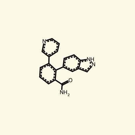 NC(=O)c1cccc(-c2cccnc2)c1-c1ccc2[nH]ncc2c1